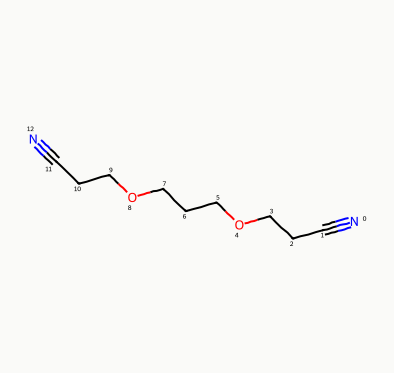 N#CCCOCCCOCCC#N